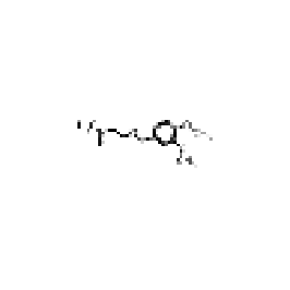 CNCCOCc1ccc(OC)c(OC)c1